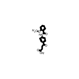 COc1ccccc1C(=O)Nc1ccc(C(=O)CCC(=O)O)cc1